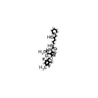 COC(=O)c1c(OCc2c(F)cc(C)c(F)c2F)nsc1NC(=O)NCCCC(O)CN1CCCCC1